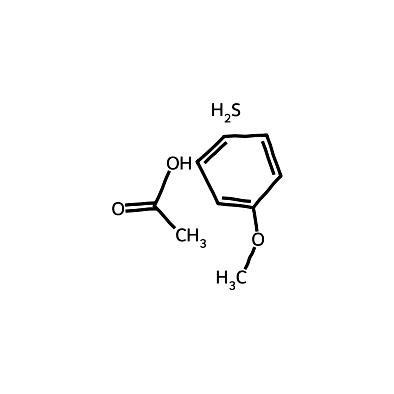 CC(=O)O.COc1ccccc1.S